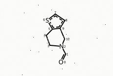 O=CN1CCc2sccc2C1